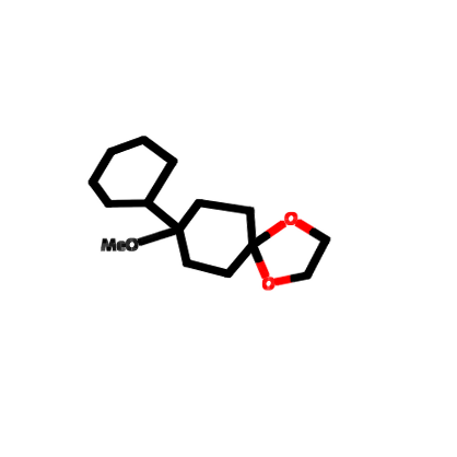 COC1(C2CCCCC2)CCC2(CC1)OCCO2